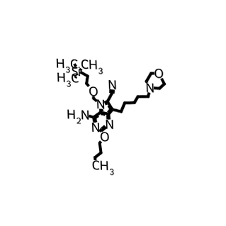 CCCCOc1nc(N)c2c(n1)c(CCCCCN1CCOCC1)c(C#N)n2COCC[Si](C)(C)C